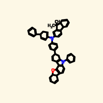 CC1(C)c2cc(N(C3=CCC(c4ccccc4)C=C3)c3ccc(C4C=Cc5c(n(-c6ccccc6)c6ccc7c(c56)OC5C=CC=CC75)C4)cc3)ccc2C2C=CC=CC21